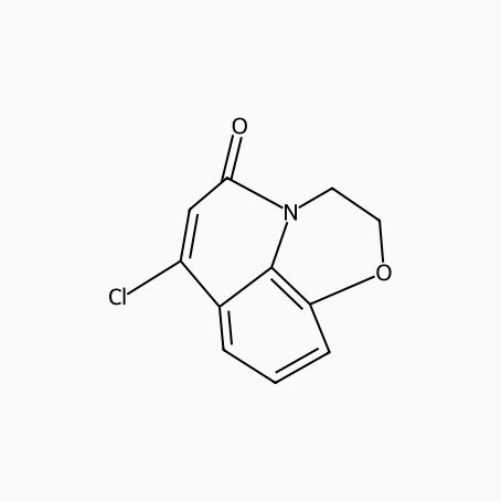 O=c1cc(Cl)c2cccc3c2n1CCO3